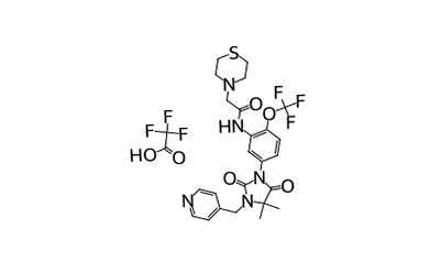 CC1(C)C(=O)N(c2ccc(OC(F)(F)F)c(NC(=O)CN3CCSCC3)c2)C(=O)N1Cc1ccncc1.O=C(O)C(F)(F)F